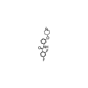 CN1CCC(Oc2cccc(NC(=O)c3ccc(F)cc3F)c2)CC1